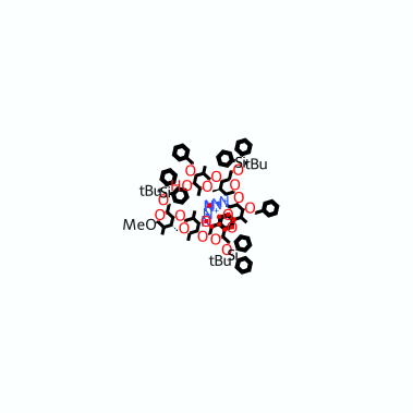 CO[C@H]1OC(CO[Si](c2ccccc2)(c2ccccc2)C(C)(C)C)[C@H](O[C@@H]2OC(C)[C@@H](O[C@H]3OC(CO[Si](c4ccccc4)(c4ccccc4)C(C)(C)C)[C@H](O[C@@H]4OC(C)[C@@H](O[C@H]5OC(CO[Si](c6ccccc6)(c6ccccc6)C(C)(C)C)[C@H](O[C@@H]6OC(C)[C@@H](O)[C@@H](OCc7ccccc7)C6C)[C@H](C)C5N=[N+]=[N-])[C@@H](OCc5ccccc5)C4C)[C@H](C)C3N=[N+]=[N-])[C@@H](OCc3ccccc3)C2C)[C@H](C)C1C